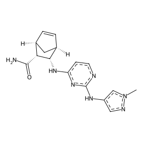 Cn1cc(Nc2nccc(N[C@@H]3[C@H](C(N)=O)[C@H]4C=C[C@@H]3C4)n2)cn1